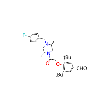 C[C@@H]1CN(Cc2ccc(F)cc2)[C@@H](C)CN1C(=O)COc1c(C(C)(C)C)cc(C=O)cc1C(C)(C)C